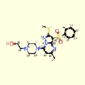 CSc1nn2c(N3CCN(CCO)CC3)cc(C)nc2c1S(=O)(=O)c1ccccc1